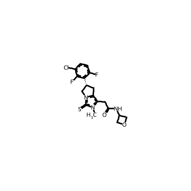 Cn1c(CC(=O)NC2COC2)c2n(c1=S)C[C@H](c1c(F)ccc(Cl)c1F)C2